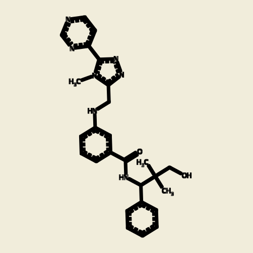 Cn1c(CNc2cccc(C(=O)NC(c3ccccc3)C(C)(C)CO)c2)nnc1-c1ccncn1